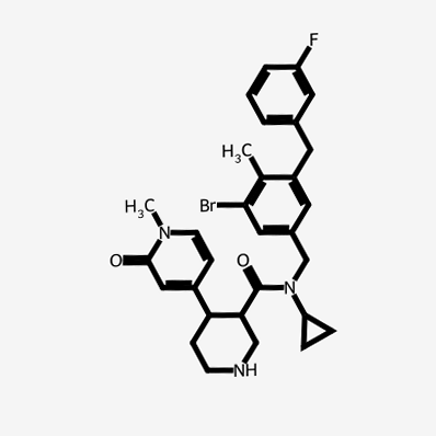 Cc1c(Br)cc(CN(C(=O)C2CNCCC2c2ccn(C)c(=O)c2)C2CC2)cc1Cc1cccc(F)c1